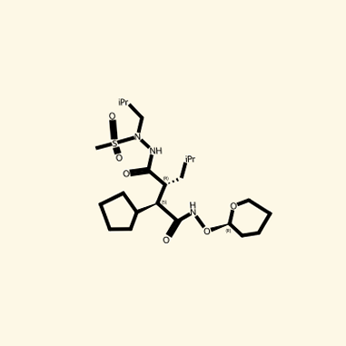 CC(C)C[C@@H](C(=O)NN(CC(C)C)S(C)(=O)=O)[C@@H](C(=O)NO[C@@H]1CCCCO1)C1CCCC1